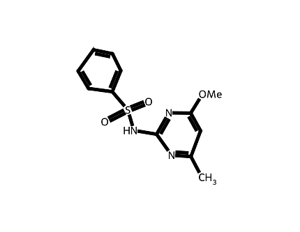 COc1cc(C)nc(NS(=O)(=O)c2cc[c]cc2)n1